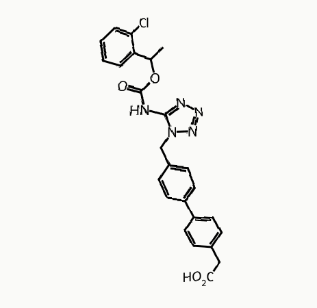 CC(OC(=O)Nc1nnnn1Cc1ccc(-c2ccc(CC(=O)O)cc2)cc1)c1ccccc1Cl